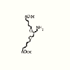 CCCCCCCCCCCCCCOC[C@H](CN)OCCCCCCCCCCCCCC